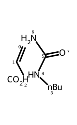 C=CC(=O)O.CCCCNC(N)=O